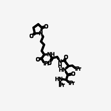 CC(C)CC(NC(=O)C(NC(C)C)C(C)C)C(=O)NCC(=O)NC(CCCCN1C(=O)CCC1=O)C(=O)C(C)C